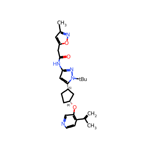 C=C(C)c1ccncc1O[C@@H]1CC[C@H](c2cc(NC(=O)Cc3cc(C)no3)nn2C(C)(C)C)C1